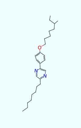 CCCCCCCCc1cnc(-c2ccc(OCCCCCC(C)CC)cc2)cn1